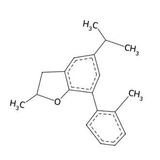 Cc1ccccc1-c1cc(C(C)C)cc2c1OC(C)C2